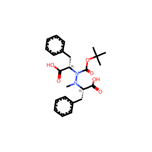 CN([C@@H](Cc1ccccc1)C(=O)O)N(C(=O)OC(C)(C)C)[C@@H](Cc1ccccc1)C(=O)O